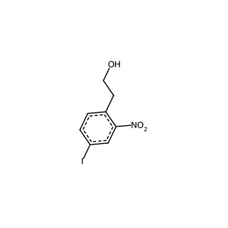 O=[N+]([O-])c1cc(I)ccc1CCO